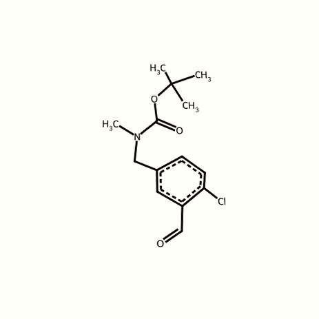 CN(Cc1ccc(Cl)c(C=O)c1)C(=O)OC(C)(C)C